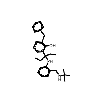 CCC(CC)(Pc1ccccc1CNC(C)(C)C)c1cccc(Cc2ccccc2)c1O